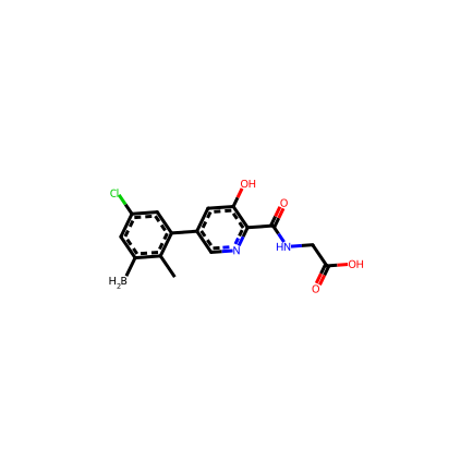 Bc1cc(Cl)cc(-c2cnc(C(=O)NCC(=O)O)c(O)c2)c1C